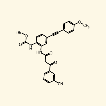 CC(C)(C)OC(=O)Nc1ccc(C#Cc2ccc(OC(F)(F)F)cc2)cc1NC(=O)CC(=O)c1cccc(C#N)c1